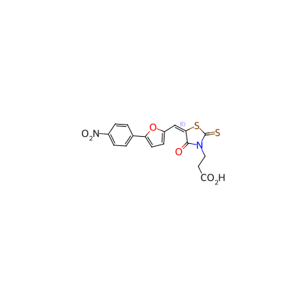 O=C(O)CCN1C(=O)/C(=C\c2ccc(-c3ccc([N+](=O)[O-])cc3)o2)SC1=S